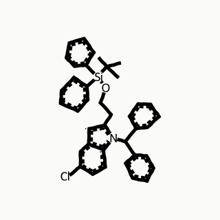 CC(C)(C)[Si](OCCc1[c]c2cc(Cl)ccc2n1C(c1ccccc1)c1ccccc1)(c1ccccc1)c1ccccc1